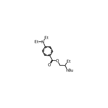 CCCCC(CC)COC(=O)c1ccc(N(CC)CC)cc1